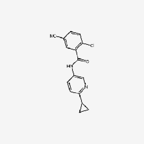 N#Cc1ccc(Cl)c(C(=O)Nc2ccc(C3CC3)nc2)c1